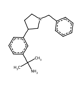 CC(C)(N)c1cccc(C2CCN(Cc3ccccc3)C2)c1